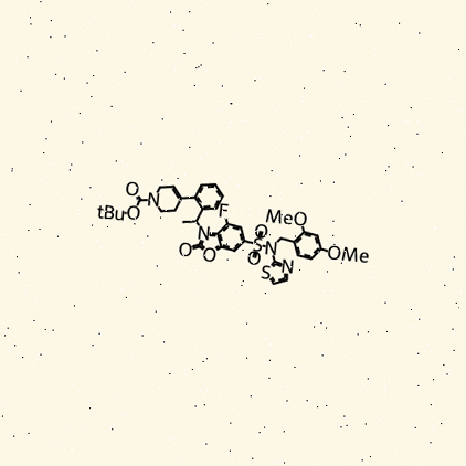 COc1ccc(CN(c2nccs2)S(=O)(=O)c2cc(F)c3c(c2)oc(=O)n3C(C)c2ccccc2C2=CCN(C(=O)OC(C)(C)C)CC2)c(OC)c1